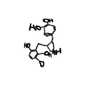 Oc1ccc(C2CNCC2Cc2c(O)ccc(Cl)c2O)cc1O